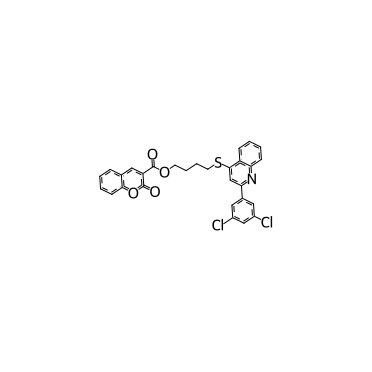 O=C(OCCCCSc1cc(-c2cc(Cl)cc(Cl)c2)nc2ccccc12)c1cc2ccccc2oc1=O